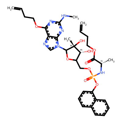 C=CCCOC(=O)[C@H](C)NP(=O)(OCC1OC(n2cnc3c(OCCC=C)nc(NC)nc32)[C@](C)(O)[C@@H]1O)Oc1cccc2ccccc12